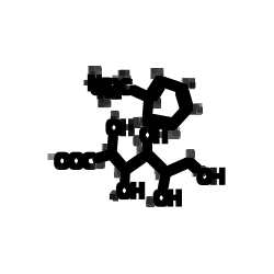 O=C([O-])C(O)C(O)C(O)C(O)CO.O=C([O-])c1ccccc1.[Na+].[Na+]